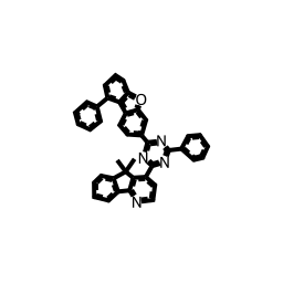 CC1(C)c2ccccc2-c2nccc(-c3nc(-c4ccccc4)nc(-c4ccc5c(c4)oc4cccc(-c6ccccc6)c45)n3)c21